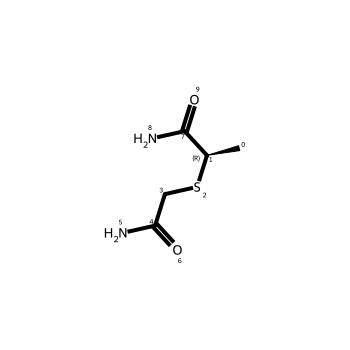 C[C@@H](SCC(N)=O)C(N)=O